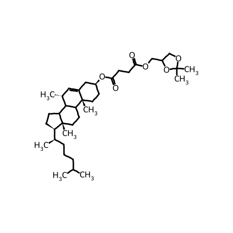 CC(C)CCC[C@@H](C)[C@H]1CCC2C3C(CC[C@@]21C)[C@@]1(C)CC[C@H](OC(=O)CCC(=O)OCC2COC(C)(C)O2)CC1=C[C@H]3C